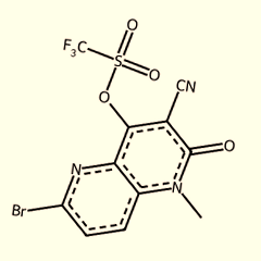 Cn1c(=O)c(C#N)c(OS(=O)(=O)C(F)(F)F)c2nc(Br)ccc21